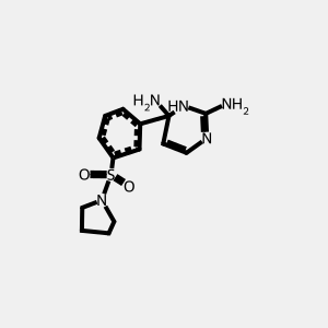 NC1=NC=CC(N)(c2cccc(S(=O)(=O)N3CCCC3)c2)N1